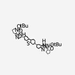 CC(C)(C)OC(=O)N[C@H](c1nc2ccc(-c3ccc4c(c3)sc3cc(-c5cnc([C@@H]6CCCN6C(=O)OC(C)(C)C)[nH]5)ccc34)cc2[nH]1)C1CCCC1